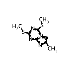 CSc1nc(SC)n2cc(C)nc2n1